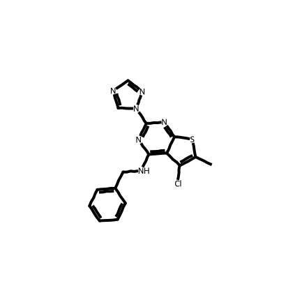 Cc1sc2nc(-n3cncn3)nc(NCc3ccccc3)c2c1Cl